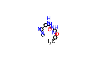 Cc1ccc(Oc2ccc(NC(=O)c3n[nH]c4ccc(-c5cncc(N6CCCC6)c5)cc34)cn2)cc1